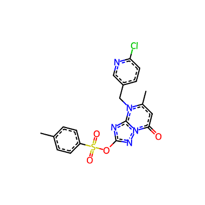 Cc1ccc(S(=O)(=O)Oc2nc3n(Cc4ccc(Cl)nc4)c(C)cc(=O)n3n2)cc1